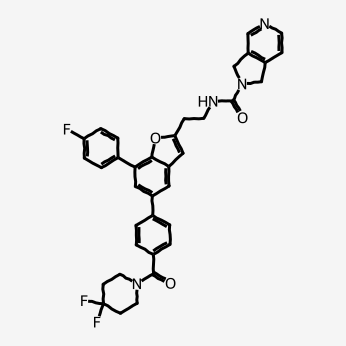 O=C(NCCc1cc2cc(-c3ccc(C(=O)N4CCC(F)(F)CC4)cc3)cc(-c3ccc(F)cc3)c2o1)N1Cc2ccncc2C1